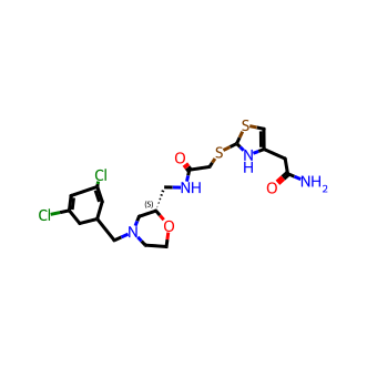 NC(=O)CC1=CSC(SCC(=O)NC[C@H]2CN(CC3C=C(Cl)C=C(Cl)C3)CCO2)N1